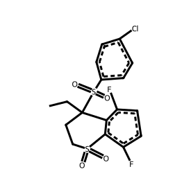 CCC1(S(=O)(=O)c2ccc(Cl)cc2)CCS(=O)(=O)c2c(F)ccc(F)c21